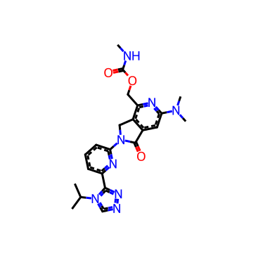 CNC(=O)OCc1nc(N(C)C)cc2c1CN(c1cccc(-c3nncn3C(C)C)n1)C2=O